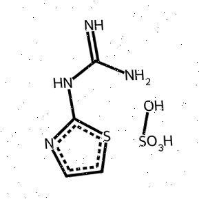 N=C(N)Nc1nccs1.O=S(=O)(O)O